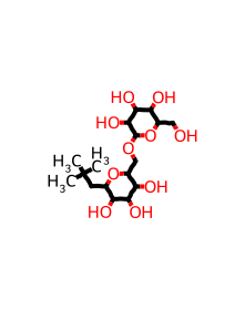 CC(C)(C)CC1OC(COC2OC(CO)C(O)C(O)C2O)C(O)C(O)C1O